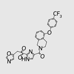 O=C(c1c[nH]c(S(=O)(=O)Cc2cnco2)n1)N1CCc2c(cccc2Oc2ccc(C(F)(F)F)cc2)C1